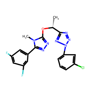 C[C@@H](Oc1nnc(-c2cc(F)cc(F)c2)n1C)c1nnn(-c2cccc(Cl)c2)n1